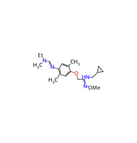 CCN(C)/C=N/c1cc(C)c(OC/C(=N/OC)NCC2CC2)cc1C